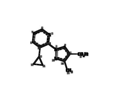 CCOC(=O)c1cn(-c2ncccc2C2CC2)nc1C